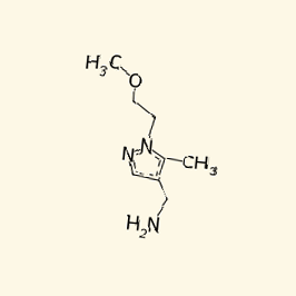 COCCn1ncc(CN)c1C